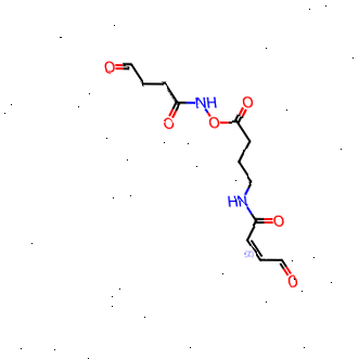 O=C/C=C\C(=O)NCCCC(=O)ONC(=O)CCC=O